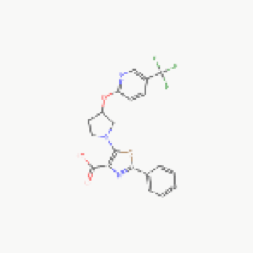 O=C(O)c1nc(-c2ccccc2)sc1N1CCC(Oc2ccc(C(F)(F)F)cn2)C1